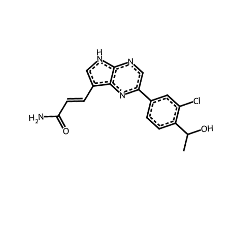 CC(O)c1ccc(-c2cnc3[nH]cc(C=CC(N)=O)c3n2)cc1Cl